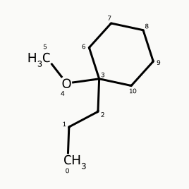 CCCC1(OC)CCCCC1